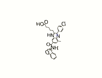 Cc1cc(C(=O)N[C@@H]2COc3ccccc32)ccc1/N=C(\C(=N)CCCCC(=O)O)c1ccc(Cl)cc1